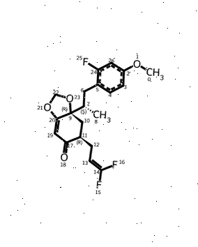 COc1ccc(C[C@H](C)[C@]23C[C@@H](CC=C(F)F)C(=O)C=C2OCO3)c(F)c1